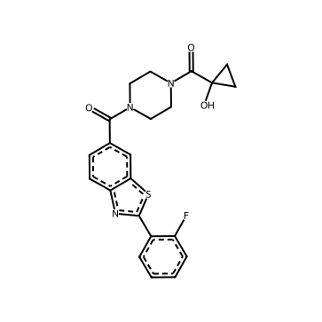 O=C(c1ccc2nc(-c3ccccc3F)sc2c1)N1CCN(C(=O)C2(O)CC2)CC1